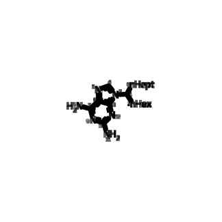 CCCCCCCC(CCCCCC)n1cnc2c(N)nc(N)nc21